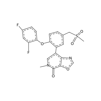 Cn1cc(-c2cc(CS(C)(=O)=O)ccc2Oc2ccc(F)cc2F)c2ncoc2c1=O